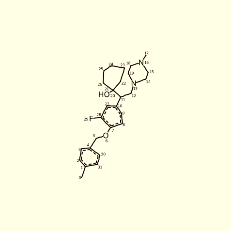 Cc1ccc(COc2ccc(C(CN3CCN(C)CC3)C3(O)CCCCC3)cc2F)cc1